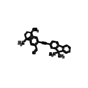 CC12CCC(C)(CC1)c1cc(C=O)c(C#Cc3ccc4c(c3)C(C)(C)c3ccccc3-4)cc12